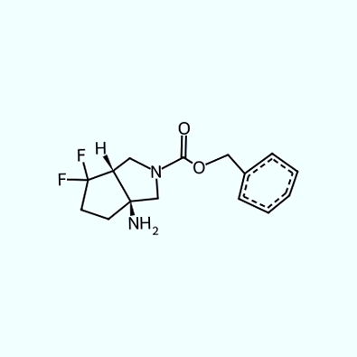 N[C@@]12CCC(F)(F)[C@@H]1CN(C(=O)OCc1ccccc1)C2